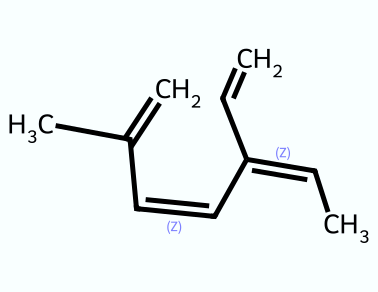 C=CC(/C=C\C(=C)C)=C/C